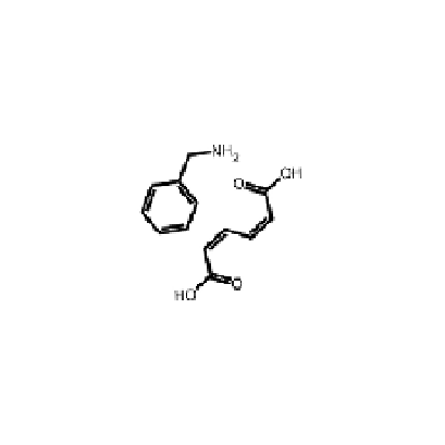 NCc1ccccc1.O=C(O)/C=C\C=C/C(=O)O